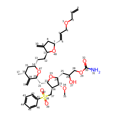 C=CCOC/C=C/[C@H]1CC(=C)[C@H](CC[C@H]2C[C@@H](C)C(=C)[C@@H](C[C@@H]3O[C@H](CC(O)COC(N)=O)[C@H](OC)[C@H]3CS(=O)(=O)c3ccccc3)O2)O1